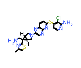 Cc1csc(C2(CN)[C@@H]3CN(c4cnc5nc(Sc6ccnc(N)c6Cl)ccc5n4)C[C@@H]32)n1